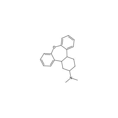 CN(C)C1CCC2c3ccccc3Oc3ccccc3C2C1